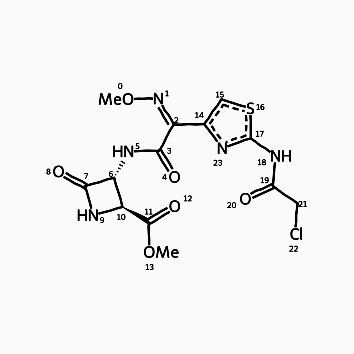 CO/N=C(\C(=O)N[C@H]1C(=O)N[C@@H]1C(=O)OC)c1csc(NC(=O)CCl)n1